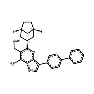 COCc1c([C@@H]2C[C@H]3CC[C@@H](C2)N3)nc2c(-c3ccc(-c4ccccc4)nc3)cnn2c1N